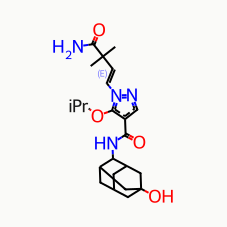 CC(C)Oc1c(C(=O)NC2C3CC4CC2CC(O)(C4)C3)cnn1/C=C/C(C)(C)C(N)=O